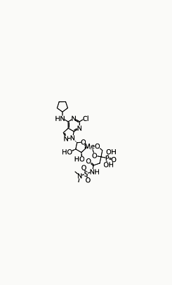 COCC(CC(=O)NS(=O)(=O)N(C)C)(OC[C@H]1O[C@@H](n2ncc3c(NC4CCCC4)nc(Cl)nc32)[C@H](O)[C@@H]1O)P(=O)(O)O